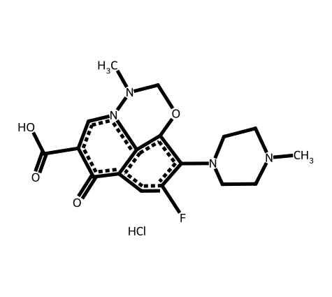 CN1CCN(c2c(F)cc3c(=O)c(C(=O)O)cn4c3c2OCN4C)CC1.Cl